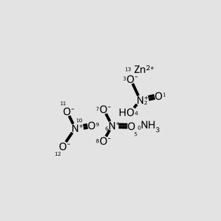 N.O=[N+]([O-])O.O=[N+]([O-])[O-].O=[N+]([O-])[O-].[Zn+2]